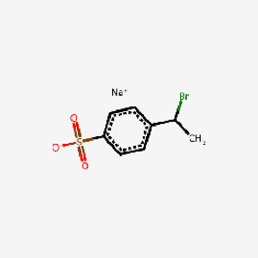 CC(Br)c1ccc(S(=O)(=O)[O-])cc1.[Na+]